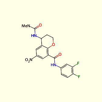 CNC(=O)NC1CCOc2c(C(=O)Nc3ccc(F)c(F)c3)cc([N+](=O)[O-])cc21